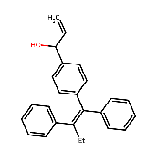 C=CC(O)c1ccc(C(=C(CC)c2ccccc2)c2ccccc2)cc1